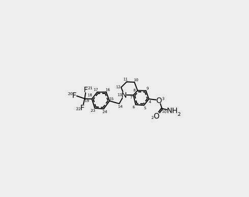 NC(=O)Oc1ccc2c(c1)CCCN2Cc1ccc(C(F)(F)F)cc1